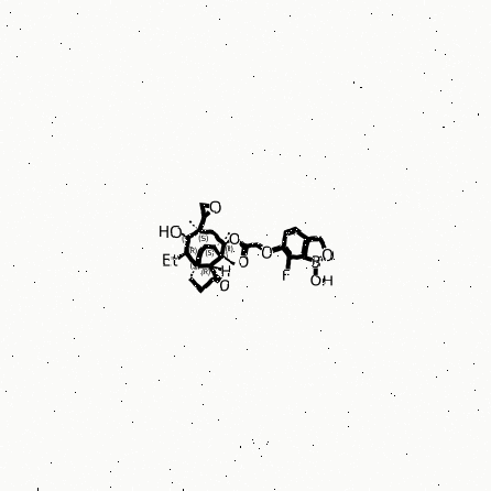 CC[C@H]1[C@H](O)[C@@](C)(C2CO2)C[C@@H](OC(=O)COc2ccc3c(c2F)B(O)OC3)[C@]2(C)[C@@H]3C(=O)CC[C@]31CC[C@@H]2C